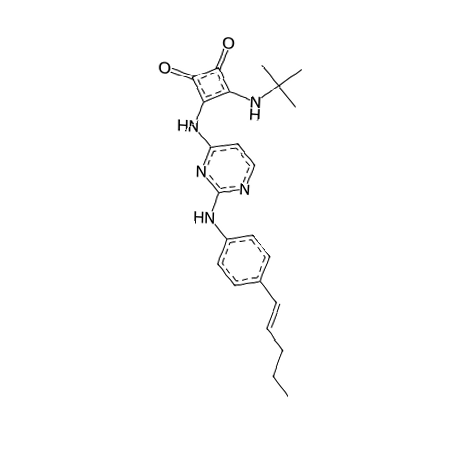 CCC/C=C/c1ccc(Nc2nccc(Nc3c(NC(C)(C)C)c(=O)c3=O)n2)cc1